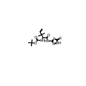 C=CC(C)(C)C(NC(=O)OC(C)(C)C)C(=O)Nc1n[nH]c(=S)s1